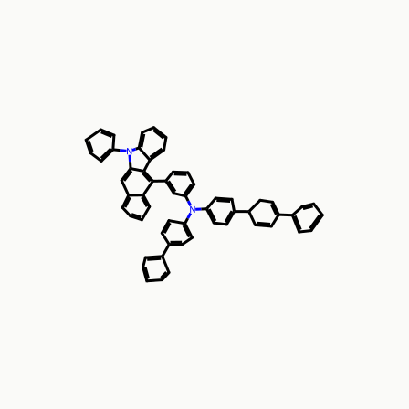 C1=CC(c2ccc(N(c3ccc(-c4ccccc4)cc3)c3cccc(-c4c5ccccc5cc5c4c4ccccc4n5-c4ccccc4)c3)cc2)CC=C1c1ccccc1